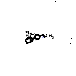 C/C=C/c1ccc([C@H]2CC3CC[C@H]([C@H]2C(=O)CC)N3C)cc1